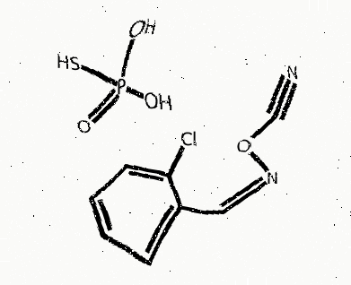 N#CO/N=C\c1ccccc1Cl.O=P(O)(O)S